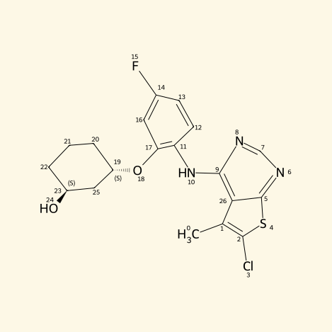 Cc1c(Cl)sc2ncnc(Nc3ccc(F)cc3O[C@H]3CCC[C@H](O)C3)c12